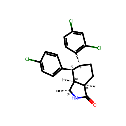 C[C@H]1NC(=O)[C@]2(C)CC[C@@H](c3ccc(Cl)cc3Cl)[C@H](c3ccc(Cl)cc3)[C@H]12